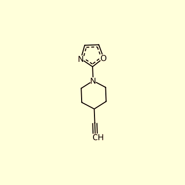 C#CC1CCN(c2ncco2)CC1